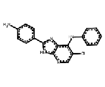 Nc1ccc(-c2nc3c(Nc4ccccc4)c(Cl)cnc3[nH]2)cc1